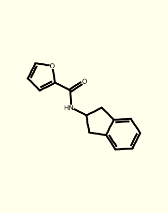 O=C(NC1Cc2ccccc2C1)c1ccco1